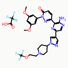 COc1cc(OC)cc(-n2nc(-c3nc(-c4cnn(C5CCN(CCOC(F)(F)F)CC5)c4)cnc3N)ccc2=O)c1.O=C(O)C(F)(F)F